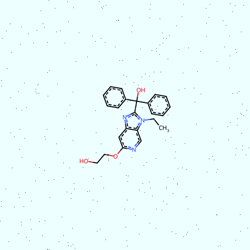 CCn1c(C(O)(c2ccccc2)c2ccccc2)nc2cc(OCCO)ncc21